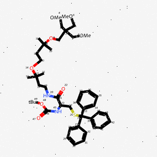 COCC(COC)(COC)COC(C)(C)CCOC(C)(C)CCNC(=O)C(CSC(c1ccccc1)(c1ccccc1)c1ccccc1)NC(=O)OC(C)(C)C